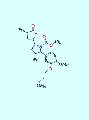 COCCCOc1cc(C2[C@H](C(C)C)C[C@@H]([C@@H]3C[C@@H](C(C)C)C(=O)O3)N2C(=O)OC(C)(C)C)ccc1OC